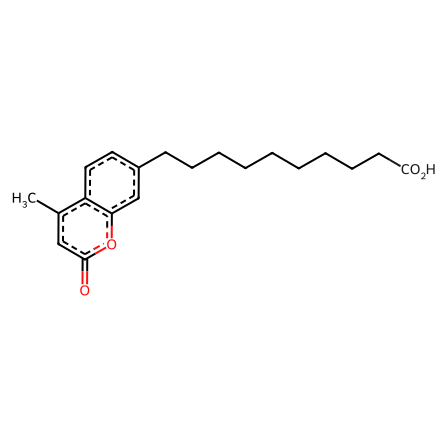 Cc1cc(=O)oc2cc(CCCCCCCCCC(=O)O)ccc12